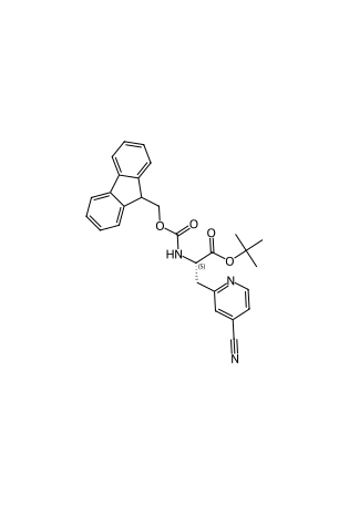 CC(C)(C)OC(=O)[C@H](Cc1cc(C#N)ccn1)NC(=O)OCC1c2ccccc2-c2ccccc21